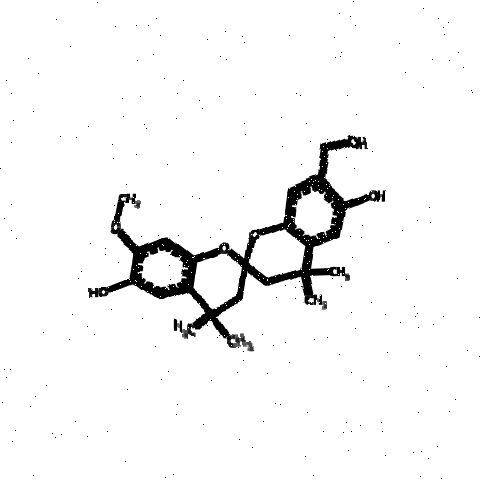 COc1cc2c(cc1O)C(C)(C)CC1(CC(C)(C)c3cc(O)c(CO)cc3O1)O2